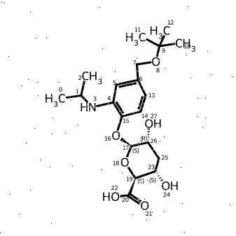 CC(C)Nc1cc(COC(C)(C)C)ccc1O[C@@H]1O[C@H](C(=O)O)[C@@H](O)C[C@H]1O